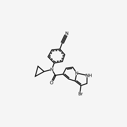 N#Cc1ccc(N(C(=O)C2=CC3=C(Br)CNN3C=C2)C2CC2)cc1